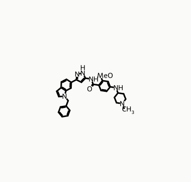 COc1cc(NC2CCN(C)CC2)ccc1C(=O)Nc1cc(-c2ccc3ccn(Cc4ccccc4)c3c2)n[nH]1